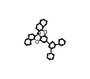 O=P12c3ccc4ccccc4c3Oc3cc(-c4cc(-c5ccccc5)cc(-c5ccccc5)c4)cc(c31)Oc1c2ccc2ccccc12